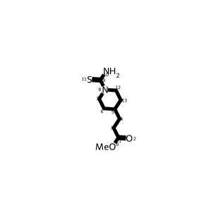 COC(=O)CCC1CCN(C(N)=S)CC1